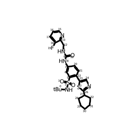 CC(C)(C)NS(=O)(=O)c1cc(NC(=O)NCc2ncccc2F)ccc1-c1cnc(C2CCCCC2)s1